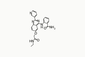 CCNC(=O)COc1ccc2nc(-c3cccnc3)nc(Nc3ccccc3C(N)=O)c2c1